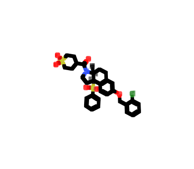 O=C(C1CCS(=O)(=O)CC1)N1CC[C@@]2(S(=O)(=O)c3ccccc3)c3ccc(OCc4ccccc4Cl)cc3CC[C@@H]12